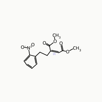 COC(=O)/C=C(/CCc1ccccc1[N+](=O)[O-])C(=O)OC